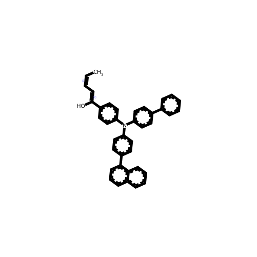 C/C=C\C=C(/O)c1ccc(N(c2ccc(-c3ccccc3)cc2)c2ccc(-c3cccc4ccccc34)cc2)cc1